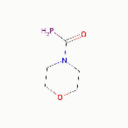 O=C(P)N1CCOCC1